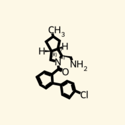 CC1C[C@H]2CN(C(=O)c3ccccc3-c3ccc(Cl)cc3)[C@H](CN)[C@H]2C1